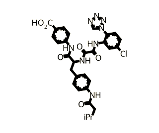 CC(C)CC(=O)Nc1ccc(CC(NC(=O)C(=O)Nc2cc(Cl)ccc2-n2cnnn2)C(=O)Nc2ccc(C(=O)O)cc2)cc1